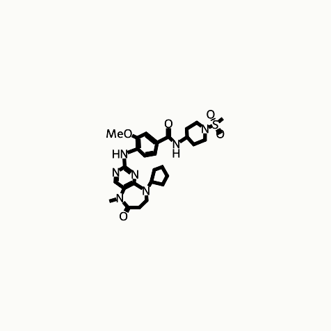 COc1cc(C(=O)NC2CCN(S(C)(=O)=O)CC2)ccc1Nc1ncc2c(n1)N(C1CCCC1)CCC(=O)N2C